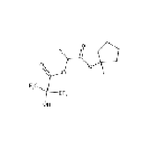 CC(OC(=O)C(O)(C(F)(F)F)C(F)(F)F)C(=O)OC1(C)CCCC1